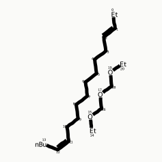 CC/C=C/CCCCCCCC/C=C\CCCC.CCOCOCOCC